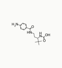 CC(C)(C)C(CCNC(=O)c1ccc(N)cc1)NC(=O)O